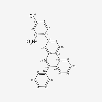 O=[N+]([O-])c1cc(Cl)ccc1-c1ccc2c(c1)nc(-c1ccccc1)c1ccccc12